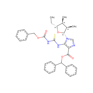 CC(=O)OC[C@H]1O[C@@H](n2cnc(C(=O)OC(c3ccccc3)c3ccccc3)c2NC(=S)NC(=O)OCc2ccccc2)[C@H](OC(C)=O)[C@@H]1OC(C)=O